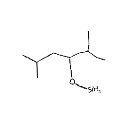 CC(C)CC(O[SiH3])C(C)C